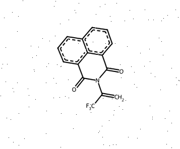 C=C(N1C(=O)c2cccc3cccc(c23)C1=O)C(F)(F)F